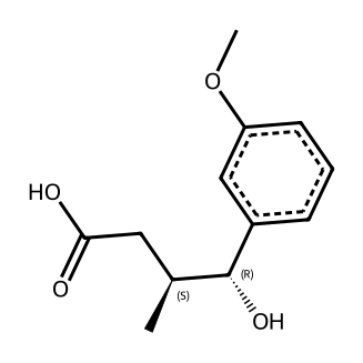 COc1cccc([C@H](O)[C@@H](C)CC(=O)O)c1